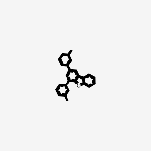 Cc1cccc(-c2cc(C3=CC(C)CC=C3)cc3c2oc2ccccc23)c1